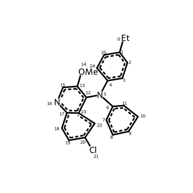 CCc1ccc(N(c2ccccc2)c2c(OC)cnc3ccc(Cl)cc23)cc1